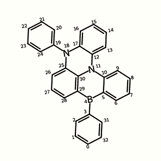 c1ccc(B2c3ccccc3N3c4ccccc4N(c4ccccc4)c4cccc2c43)cc1